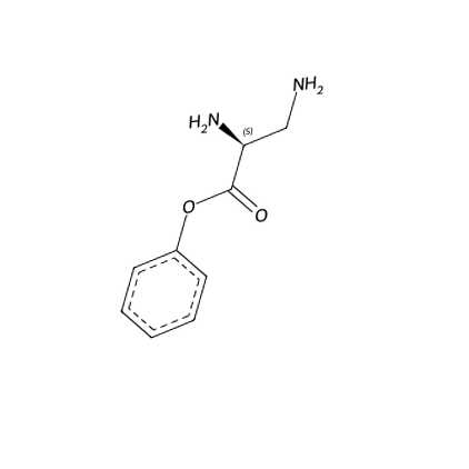 NC[C@H](N)C(=O)Oc1ccccc1